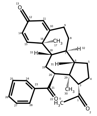 CC(=O)[C@H]1CC[C@H]2[C@@H]3CCC4=CC(=O)C=C[C@]4(C)[C@H]3C[C@H](C(=O)c3ccccc3)[C@]12C